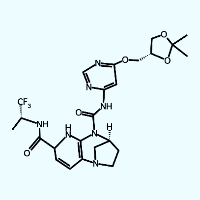 C[C@@H](NC(=O)C1C=CC2=C(N1)N(C(=O)Nc1cc(OC[C@@H]3COC(C)(C)O3)ncn1)[C@H]1CCN2C1)C(F)(F)F